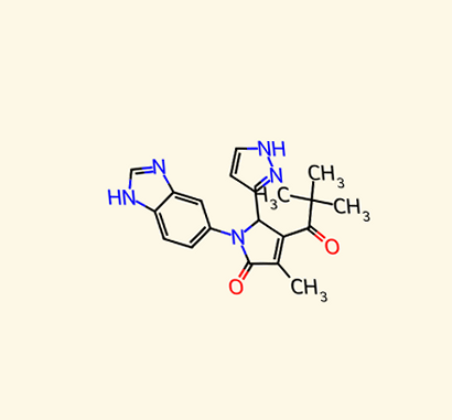 CC1=C(C(=O)C(C)(C)C)C(c2cc[nH]n2)N(c2ccc3[nH]cnc3c2)C1=O